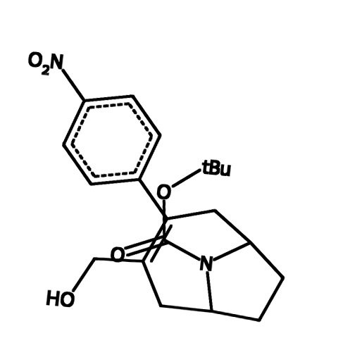 CC(C)(C)OC(=O)N1C2CCC1CC(c1ccc([N+](=O)[O-])cc1)=C(CO)C2